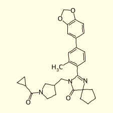 Cc1cc(-c2ccc3c(c2)OCO3)ccc1C1=NC2(CCCC2)C(=O)N1CC1CCN(C(=O)C2CC2)C1